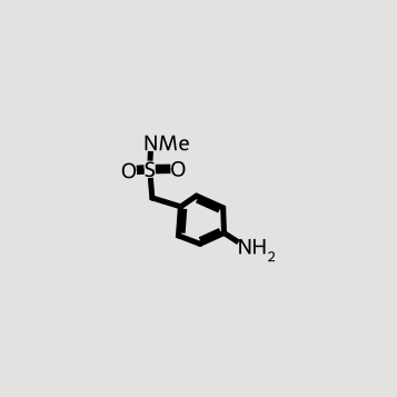 CNS(=O)(=O)Cc1ccc(N)cc1